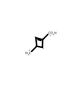 CC1C=C(C(=O)O)C1